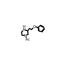 CC(=O)N1CCNC(CCOc2ccccc2)C1